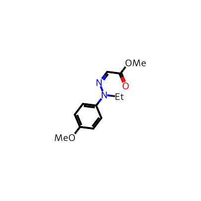 CCN(/N=C\C(=O)OC)c1ccc(OC)cc1